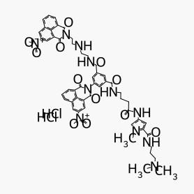 CN(C)CCCNC(=O)c1cc(NC(=O)CCCNC(=O)c2cc(C(=O)NCCNCCN3C(=O)c4cccc5cc([N+](=O)[O-])cc(c45)C3=O)cc(N3C(=O)c4cccc5cc([N+](=O)[O-])cc(c45)C3=O)c2)cn1C.Cl.Cl